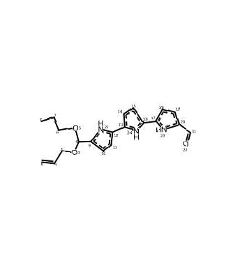 C=CCOC(OCCC)c1ccc(-c2ccc(-c3ccc(C=O)[nH]3)[nH]2)[nH]1